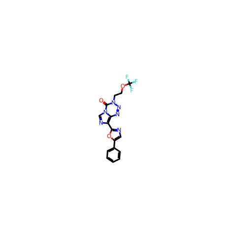 O=c1n(CCOC(F)(F)F)nnc2c(-c3ncc(-c4ccccc4)o3)ncn12